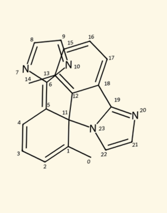 CC1=CC=CC(=C2N=CC=N2)C12c1c(C)cccc1-c1nccn12